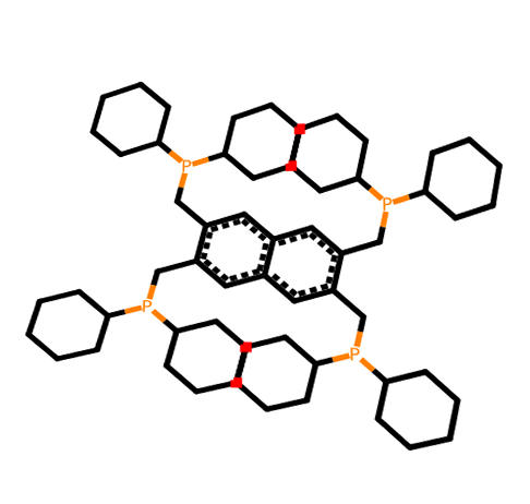 c1c(CP(C2CCCCC2)C2CCCCC2)c(CP(C2CCCCC2)C2CCCCC2)cc2cc(CP(C3CCCCC3)C3CCCCC3)c(CP(C3CCCCC3)C3CCCCC3)cc12